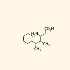 CC(C(N)CC(=O)O)C(C)C1CCCCC1